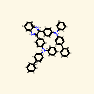 c1ccc(-c2ccc(N(c3ccccc3)c3ccc(-c4nc5ccccc5nc4-c4ccc(N(c5ccccc5)c5ccc(-c6ccccc6)cc5)cc4)cc3)cc2)cc1